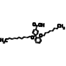 CCCCCCCCCCOC1(c2ccccc2OCCCCCCCC)C=CC(C(=O)O)C=C1